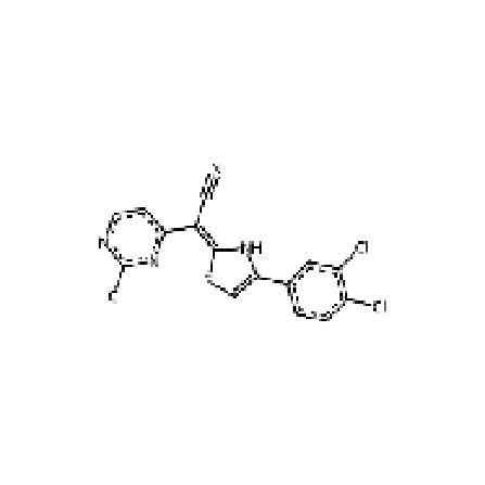 N#C/C(=C1\NC(c2ccc(Cl)c(Cl)c2)=CS1)c1ccnc(Cl)n1